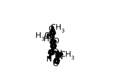 COc1ccc(CNC2Cc3cc(-c4ccc(C#N)cc4Oc4cc(N5CCOCC5)nc(C)n4)ccc3C2=O)c(OC)c1